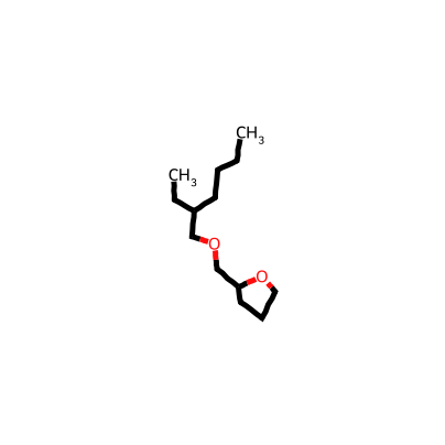 CCCCC(CC)COCC1CCCO1